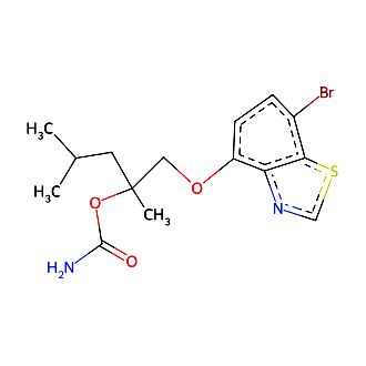 CC(C)CC(C)(COc1ccc(Br)c2scnc12)OC(N)=O